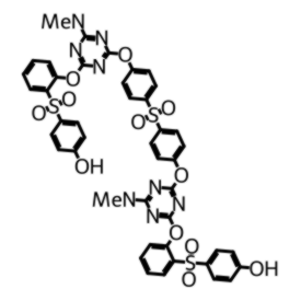 CNc1nc(Oc2ccc(S(=O)(=O)c3ccc(Oc4nc(NC)nc(Oc5ccccc5S(=O)(=O)c5ccc(O)cc5)n4)cc3)cc2)nc(Oc2ccccc2S(=O)(=O)c2ccc(O)cc2)n1